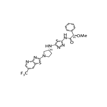 CO[C@@H](C(=O)Nc1nnc(N[C@@H]2CCN(c3nc4ncc(C(F)(F)F)cc4s3)C2)s1)c1ccccc1